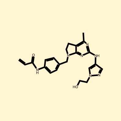 C=CC(=O)Nc1ccc(CN2CCc3c(C)nc(Nc4cnn(CCO)c4)nc32)cc1